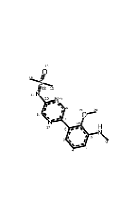 CNc1cccc(-c2cnc(N=S(C)(C)=O)cn2)c1OC